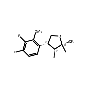 COc1c([C@@H]2CO[C@](C)(C(F)(F)F)[C@@H]2C)ccc(F)c1F